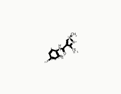 Cn1cc(C(=O)Nc2ccc(F)cc2Br)c(C(F)(F)F)n1